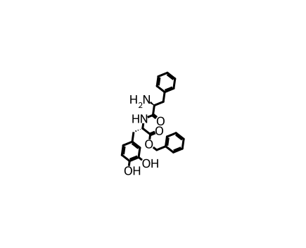 N[C@@H](Cc1ccccc1)C(=O)N[C@@H](Cc1ccc(O)c(O)c1)C(=O)OCc1ccccc1